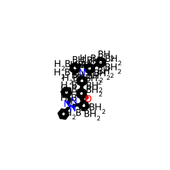 Bc1c(B)c(B)c(-c2c(B)c(B)c(N(c3c(B)c(B)c(B)c(B)c3B)c3c(B)c(B)c(-c4c(B)c(B)c5c(oc6c(B)c(B)c(B)c(-c7nc(-c8ccccc8)nc(-c8ccccc8)n7)c65)c4B)c(B)c3B)c(B)c2B)c(B)c1B